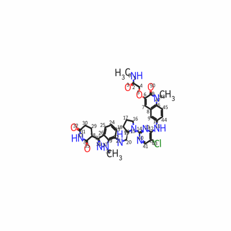 CNC(=O)COc1cc2cc(Nc3nc(N4CCC[C@@H]4CNc4cccc5c(C6CCC(=O)NC6=O)nn(C)c45)ncc3Cl)ccc2n(C)c1=O